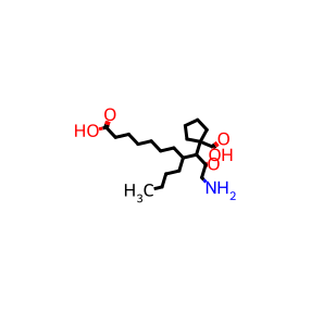 CCCCC(CCCCCCC(=O)O)C(C(=O)CN)C1(C(=O)O)CCCC1